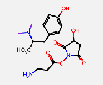 NCCC(=O)ON1C(=O)CC(O)C1=O.O=C(O)C(Cc1ccc(O)cc1)N(I)I